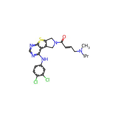 CC(C)N(C)C/C=C/C(=O)N1Cc2sc3ncnc(Nc4ccc(Cl)c(Cl)c4)c3c2C1